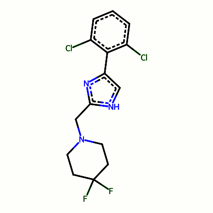 FC1(F)CCN(Cc2nc(-c3c(Cl)cccc3Cl)c[nH]2)CC1